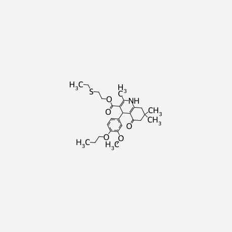 CCCOc1ccc(C2C(C(=O)OCCSCC)=C(C)NC3=C2C(=O)CC(C)(C)C3)cc1OC